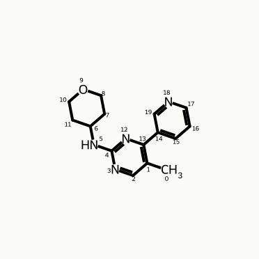 Cc1cnc(NC2CCOCC2)nc1-c1cccnc1